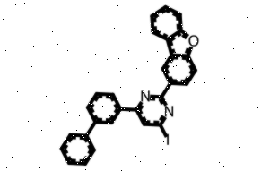 Ic1cc(-c2cccc(-c3ccccc3)c2)nc(-c2ccc3oc4ccccc4c3c2)n1